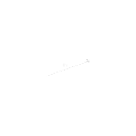 Br.CCCCCCCCCCCCCCCCCCCCCCCCCCCN(C)C